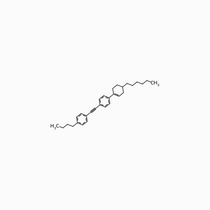 CCCCCCC1CC=C(c2ccc(C#Cc3ccc(CCCC)cc3)cc2)CC1